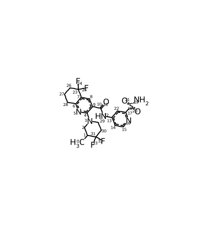 CC1CN(c2nc3c(cc2C(=O)Nc2ccnc(S(N)(=O)=O)c2)C(F)(F)CCC3)CCC1(F)F